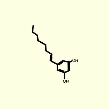 CCCCCC/C=C/c1cc(O)cc(O)c1